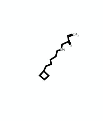 C=CC(=O)CNCCCCCC1CCC1